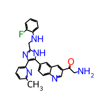 Cc1cccc(-c2nc(CNc3ccccc3F)[nH]c2-c2ccc3ncc(C(=O)CN)cc3c2)n1